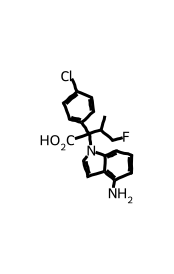 CC(CF)C(C(=O)O)(c1ccc(Cl)cc1)n1ccc2c(N)cccc21